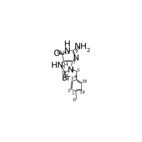 Cc1ccc(CN2c3nc(N)[nH]c(=O)c3NC2Br)cc1